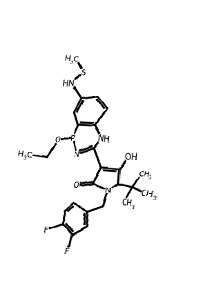 CCOP1N=C(C2=C(O)C(C(C)(C)C)N(Cc3ccc(F)c(F)c3)C2=O)Nc2ccc(NSC)cc21